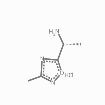 Cc1noc([C@@H](C)N)n1.Cl